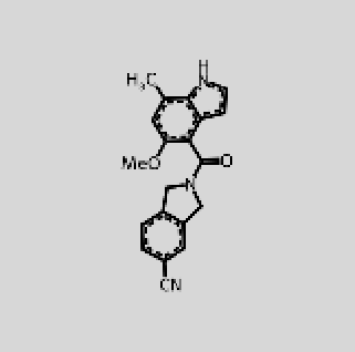 COc1cc(C)c2[nH]ccc2c1C(=O)N1Cc2ccc(C#N)cc2C1